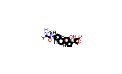 CC(C)[C@@H](N)C(=O)N(C)[C@H]1CC[C@@]2(C)[C@H](CC[C@@H]3[C@@H]2C[C@@H](O)[C@]2(C)[C@@H](C4=CC(=O)OC4)CC[C@]32O)C1